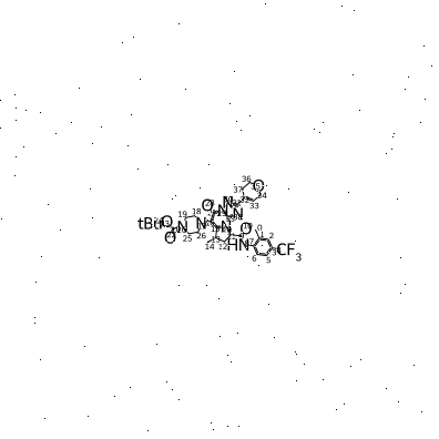 Cc1cc(C(F)(F)F)ccc1NC(=O)[C@H]1C[C@@H](C)c2c(N3CCN(C(=O)OC(C)(C)C)CC3)c(=O)n3nc(C4=CCOCC4)nc3n21